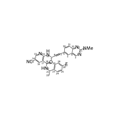 CNc1ncc2cc(C#CCNc3ncc(C#N)cc3C(=O)NC(C)c3ccc(F)cc3)ccc2n1